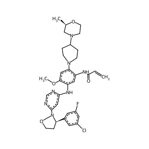 C=CC(=O)Nc1cc(Nc2cc(N3OCC[C@@H]3c3cc(F)cc(Cl)c3)ncn2)c(OC)cc1N1CCC(N2CCO[C@H](C)C2)CC1